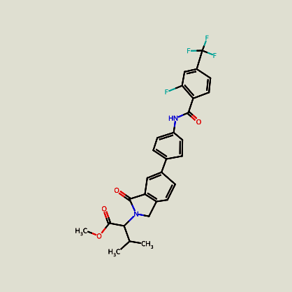 COC(=O)C(C(C)C)N1Cc2ccc(-c3ccc(NC(=O)c4ccc(C(F)(F)F)cc4F)cc3)cc2C1=O